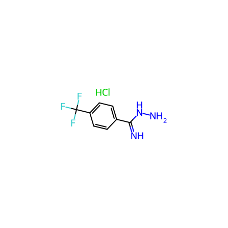 Cl.N=C(NN)c1ccc(C(F)(F)F)cc1